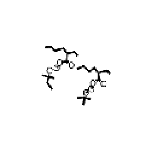 CCCCC(CC)C(=O)OOOC(C)(C)C.CCCCC(CC)C(=O)OOOC(C)(C)CC